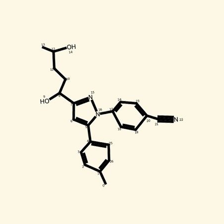 Cc1ccc(-c2cc(C(O)CCC(C)O)nn2-c2ccc(C#N)cc2)cc1